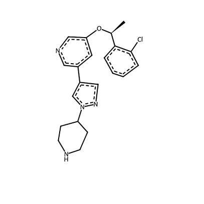 C[C@H](Oc1cncc(-c2cnn(C3CCNCC3)c2)c1)c1ccccc1Cl